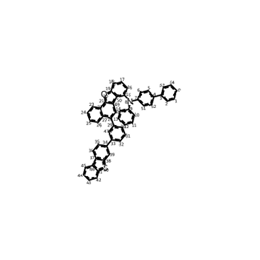 c1ccc(-c2ccc(N(c3ccccc3)c3cccc4oc5c6ccccc6c(-c6cccc(-c7ccc8c(c7)sc7ccccc78)c6)cc5c34)cc2)cc1